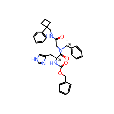 C[C@H](c1ccccc1)N(CC(=O)NCC1(c2ccccc2)CCC1)C(=O)[C@H](Cc1c[nH]cn1)NC(=O)OCc1ccccc1